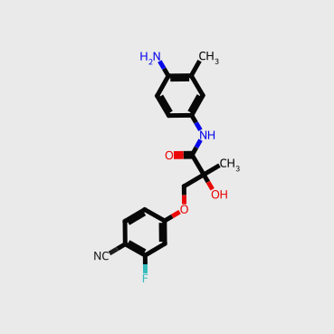 Cc1cc(NC(=O)C(C)(O)COc2ccc(C#N)c(F)c2)ccc1N